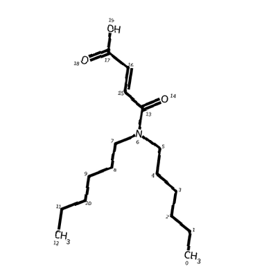 CCCCCCN(CCCCCC)C(=O)/C=C/C(=O)O